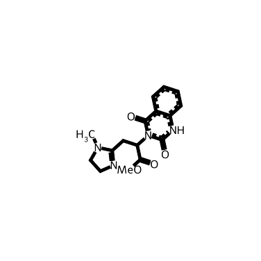 COC(=O)C(CC1=NCCN1C)n1c(=O)[nH]c2ccccc2c1=O